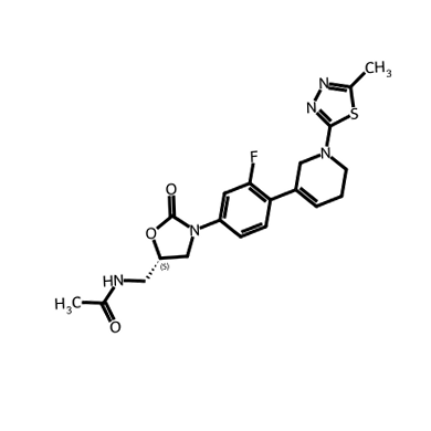 CC(=O)NC[C@H]1CN(c2ccc(C3=CCCN(c4nnc(C)s4)C3)c(F)c2)C(=O)O1